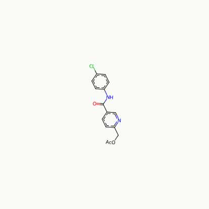 CC(=O)OCc1ccc(C(=O)Nc2ccc(Cl)cc2)cn1